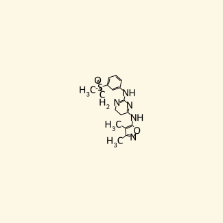 C=S(C)(=O)c1cccc(NC2=NCCC(Nc3onc(C)c3C)=N2)c1